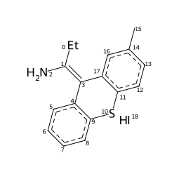 CCC(N)=C1c2ccccc2Sc2ccc(C)cc21.I